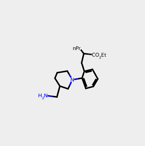 CCCC(Cc1ccccc1N1CCCC(CN)C1)C(=O)OCC